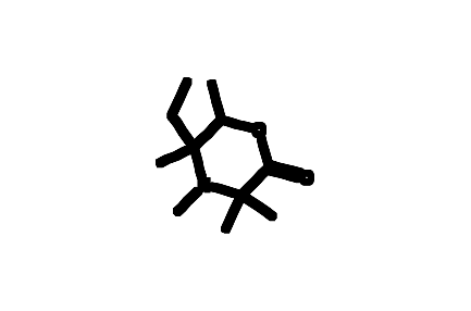 CCC1(C)C(C)OC(=O)C(C)(C)N1C